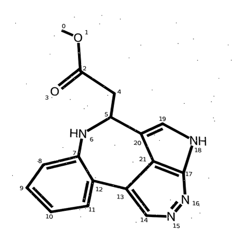 COC(=O)CC1Nc2ccccc2-c2cnnc3[nH]cc1c23